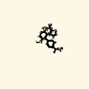 CNC(C)c1ccc(-c2c(OC)ccc3[nH]c(=O)c4sccc4c23)cc1